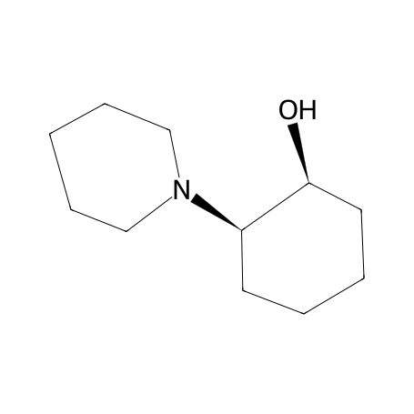 O[C@H]1CCCC[C@H]1N1CCCCC1